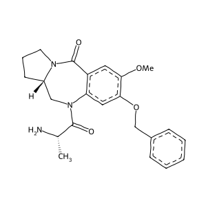 COc1cc2c(cc1OCc1ccccc1)N(C(=O)[C@H](C)N)C[C@@H]1CCCN1C2=O